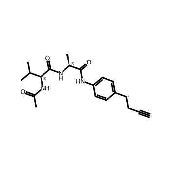 C#CC[CH]c1ccc(NC(=O)[C@H](C)NC(=O)[C@@H](NC(C)=O)C(C)C)cc1